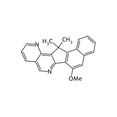 COc1cc2ccccc2c2c1-c1ncc3cccnc3c1C2(C)C